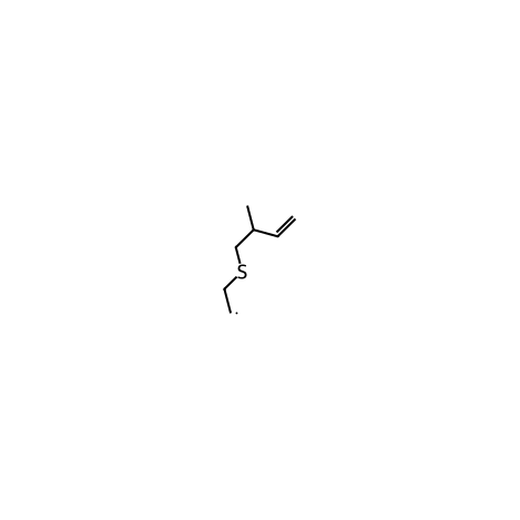 [CH2]CSCC(C)C=C